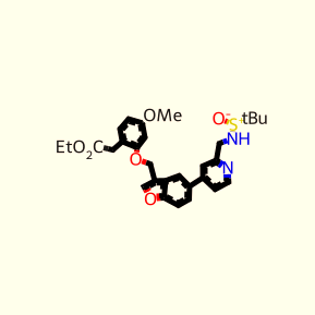 CCOC(=O)Cc1ccc(OC)cc1OCc1coc2ccc(-c3ccnc(CN[S+]([O-])C(C)(C)C)c3)cc12